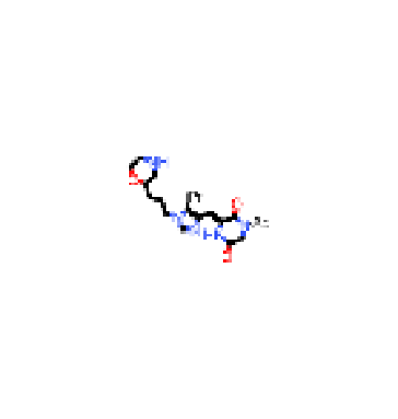 CC(=O)N1CC(=O)N/C(=C\c2ncn(CCCC3CNCCO3)c2C(C)C)C1=O